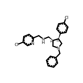 Clc1ccc([C@H]2CN(Cc3ccccc3)C[C@H]2CNCc2ccc(Cl)cn2)cc1